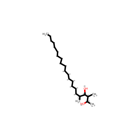 CCCCCCCCCCCCCCCCCC(C)C(O)C(C)C(C)O